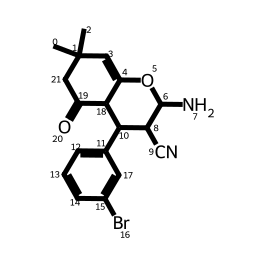 CC1(C)C=C2OC(N)C(C#N)C(c3cccc(Br)c3)C2C(=O)C1